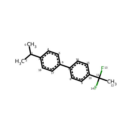 CC(C)c1ccc(-c2ccc(C(C)(F)F)cc2)cc1